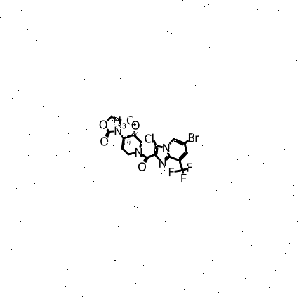 CO[C@@H]1CN(C(=O)c2nc3c(C(F)(F)F)cc(Br)cn3c2Cl)CC[C@H]1N1CCOC1=O